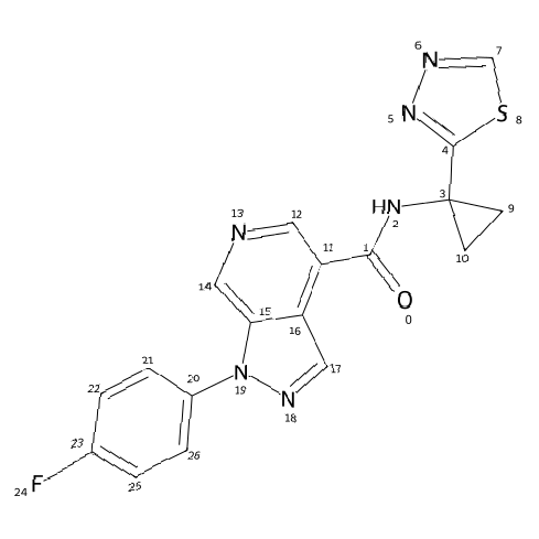 O=C(NC1(c2nncs2)CC1)c1cncc2c1cnn2-c1ccc(F)cc1